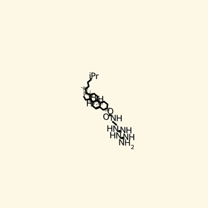 CC(C)CCC[C@@H](C)[C@H]1CC[C@H]2[C@@H]3CC=C4C[C@@H](OC(=O)NCCNC(=N)NC(=N)N)CC[C@]4(C)[C@H]3CC[C@]12C